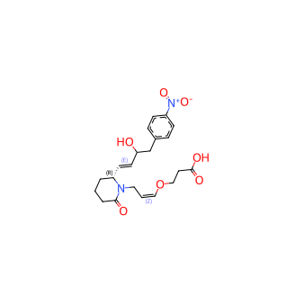 O=C(O)CCO/C=C\CN1C(=O)CCC[C@@H]1/C=C/C(O)Cc1ccc([N+](=O)[O-])cc1